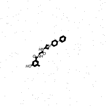 Cc1cc(O)cc(C(=O)NCC(=O)NC2CN([C@H]3CC[C@@H](c4ccccc4)CC3)C2)c1